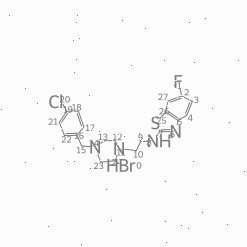 Br.Fc1ccc2nc(NCCN3CCN(Cc4ccc(Cl)cc4)CC3)sc2c1